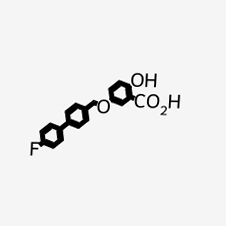 O=C(O)c1cc(OCc2ccc(-c3ccc(F)cc3)cc2)ccc1O